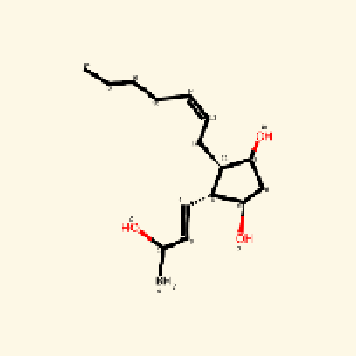 BC(O)/C=C/[C@H]1[C@H](O)CC(O)[C@@H]1C/C=C\CCCC